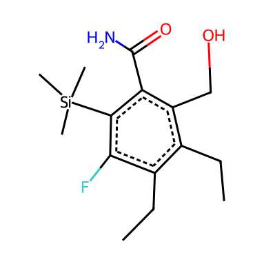 CCc1c(F)c([Si](C)(C)C)c(C(N)=O)c(CO)c1CC